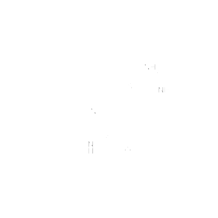 N=C(N)SC(c1ccccc1)c1nc2ccccc2[nH]c1=O